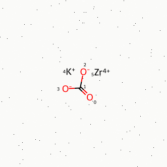 O=C([O-])[O-].[K+].[Zr+4]